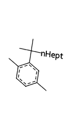 CCCCCCCC(C)(C)c1cc(C)ccc1C